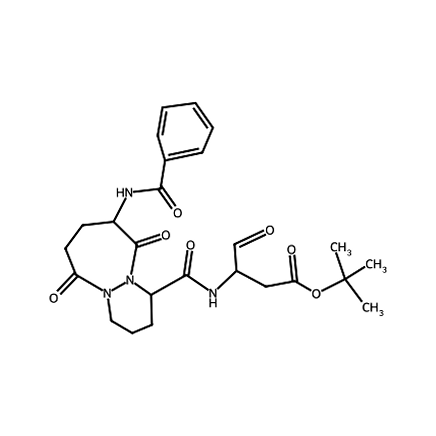 CC(C)(C)OC(=O)CC(C=O)NC(=O)C1CCCN2C(=O)CCC(NC(=O)c3ccccc3)C(=O)N12